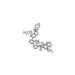 COc1nc(-c2cccc(-c3cccc(NC(=O)c4cn(C)c(=O)n(C)c4=O)c3Cl)c2C)cc2c1[C@H](NC1CCOCC1)CC2